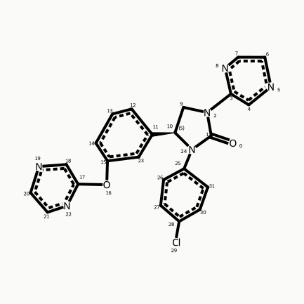 O=C1N(c2cnccn2)C[C@H](c2cccc(Oc3cnccn3)c2)N1c1ccc(Cl)cc1